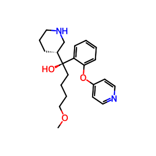 COCCCC[C@@](O)(c1ccccc1Oc1ccncc1)[C@@H]1CCCNC1